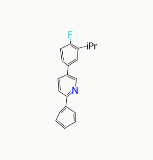 CC(C)c1cc(-c2ccc(-c3ccccc3)nc2)ccc1F